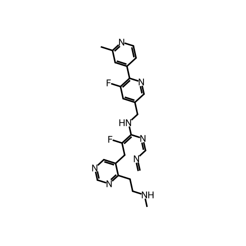 C=N/C=N\C(NCc1cnc(-c2ccnc(C)c2)c(F)c1)=C(\F)Cc1cncnc1CCNC